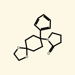 O=C1CCCN1C1(c2ccccc2)CCC2(CC1)OCCO2